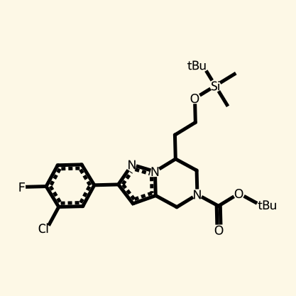 CC(C)(C)OC(=O)N1Cc2cc(-c3ccc(F)c(Cl)c3)nn2C(CCO[Si](C)(C)C(C)(C)C)C1